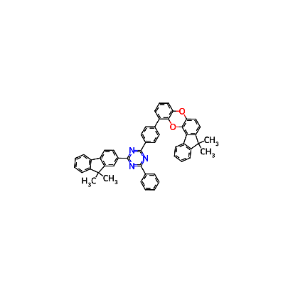 CC1(C)c2ccccc2-c2ccc(-c3nc(-c4ccccc4)nc(-c4ccc(-c5cccc6c5Oc5c(ccc7c5-c5ccccc5C7(C)C)O6)cc4)n3)cc21